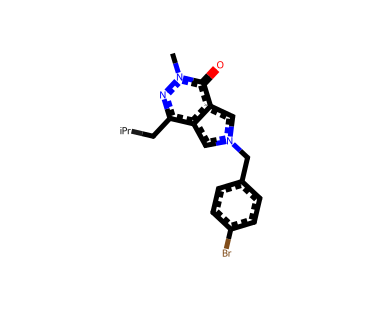 CC(C)Cc1nn(C)c(=O)c2cn(Cc3ccc(Br)cc3)cc12